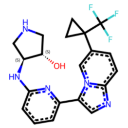 O[C@H]1CNC[C@@H]1Nc1cccc(-c2cnc3ccc(C4(C(F)(F)F)CC4)cn23)n1